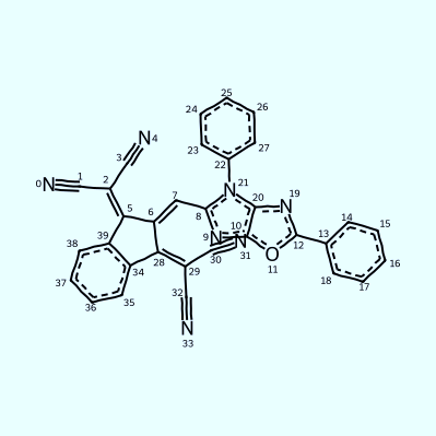 N#CC(C#N)=C1C(=Cc2nc3oc(-c4ccccc4)nc3n2-c2ccccc2)C(=C(C#N)C#N)c2ccccc21